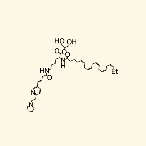 CC/C=C\C/C=C\C/C=C\C/C=C\C/C=C\CCCC(=O)N[C@@H](CCCCNC(=O)C/C=C/c1ccc(CCN2CCCC2)nc1)C(=O)OC(CO)CO